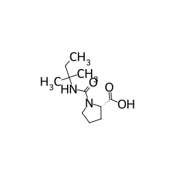 CCC(C)(C)NC(=O)N1CCC[C@H]1C(=O)O